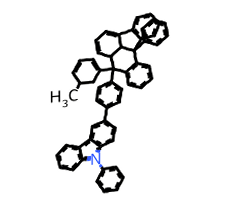 CC1C=CC=C(C2(c3ccc(-c4ccc5c(c4)c4ccccc4n5-c4ccccc4)cc3)c3ccccc3C3(c4ccccc4)c4ccccc4C4=CC=CC2C43)C1